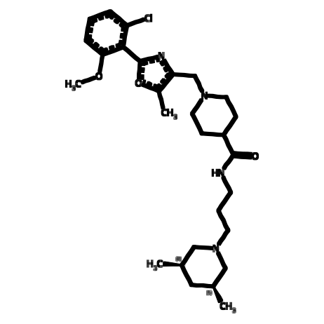 COc1cccc(Cl)c1-c1nc(CN2CCC(C(=O)NCCCN3C[C@H](C)C[C@H](C)C3)CC2)c(C)o1